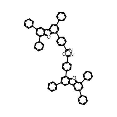 c1ccc(-c2cc(-c3ccccc3)c3oc4c(-c5ccc(-c6nnc(-c7ccc(-c8cc(-c9ccccc9)cc9c8oc8c(-c%10ccccc%10)cc(-c%10ccccc%10)cc89)cc7)o6)cc5)cc(-c5ccccc5)cc4c3c2)cc1